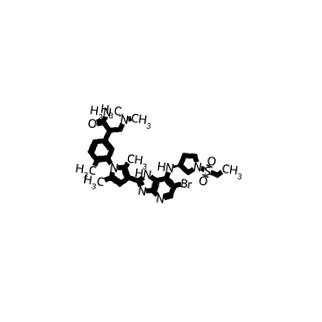 CCS(=O)(=O)N1CC[C@H](Nc2c(Br)cnc3nc(-c4cc(C)n(-c5cc(C(CN(C)C)C(N)=O)ccc5C)c4C)[nH]c23)C1